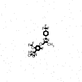 Cc1nc([C@H]2CC[C@H](C(F)(F)F)CC2)sc1COc1cc(OC(F)F)c(-c2noc(=O)[nH]2)cc1F